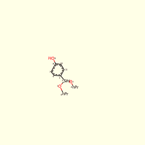 CCCO[SiH](OCCC)c1ccc(O)cc1